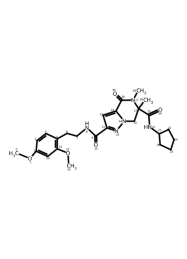 COc1ccc(CCNC(=O)c2cc3n(n2)CC(C)(C(=O)NC2CCCC2)N(C)C3=O)c(OC)c1